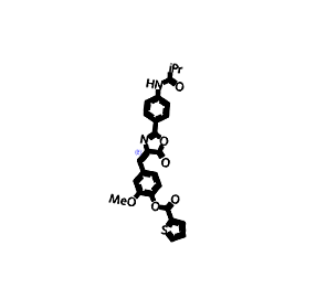 COc1cc(/C=C2/N=C(c3ccc(NC(=O)C(C)C)cc3)OC2=O)ccc1OC(=O)c1cccs1